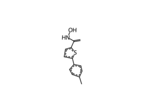 C=C(NO)c1ccc(-c2ccc(C)cc2)s1